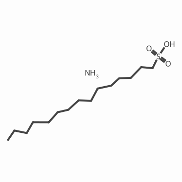 CCCCCCCCCCCCCCCS(=O)(=O)O.N